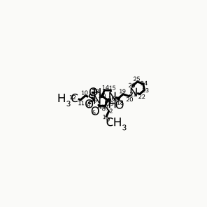 CCC[C@H]1C(=O)N(S(=O)(=O)CCC)[C@H]2CCN(C(=O)CCN3CCCCC3)[C@H]12